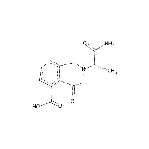 C[C@@H](C(N)=O)N1CC(=O)c2c(cccc2C(=O)O)C1